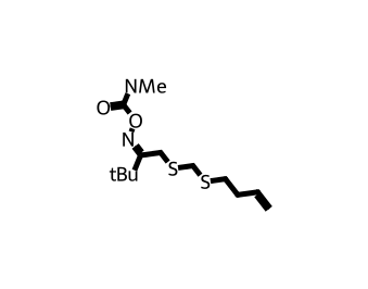 C=CCCSCSCC(=NOC(=O)NC)C(C)(C)C